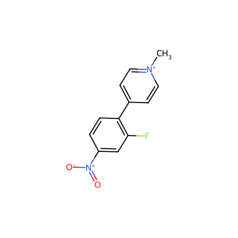 C[n+]1ccc(-c2ccc([N+](=O)[O-])cc2F)cc1